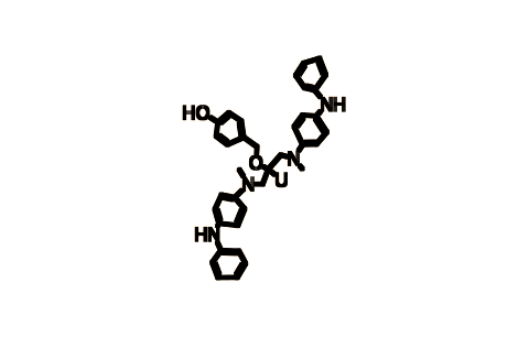 CN(C[C]([U])(CN(C)c1ccc(Nc2ccccc2)cc1)OCc1ccc(O)cc1)c1ccc(Nc2ccccc2)cc1